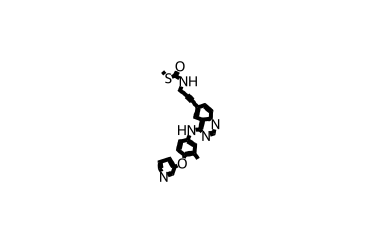 CSC(=O)NCC#Cc1ccc2ncnc(Nc3ccc(Oc4cccnc4)c(C)c3)c2c1